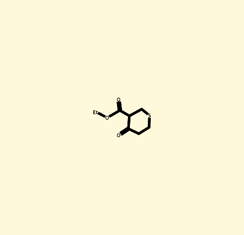 CCOC(=O)C1CSCCC1=O